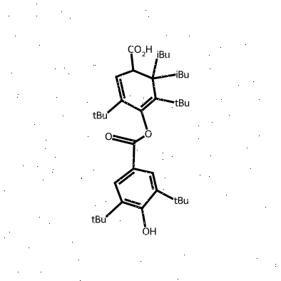 CCC(C)C1(C(C)CC)C(C(C)(C)C)=C(OC(=O)c2cc(C(C)(C)C)c(O)c(C(C)(C)C)c2)C(C(C)(C)C)=CC1C(=O)O